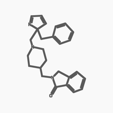 O=C1c2ccccc2CN1CC1CCN(CC2(Cc3ccccc3)C=CC=N2)CC1